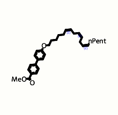 CCCCC/C=C\C/C=C\C/C=C\CCCCCOc1ccc(-c2ccc(C(=O)OC)cc2)cc1